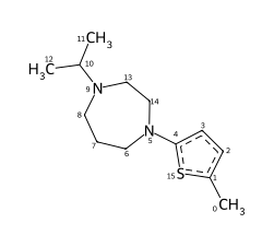 Cc1ccc(N2CCCN(C(C)C)CC2)s1